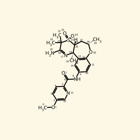 COc1ccc(C(=O)Nc2ccc3c(c2)[C@@]2(C)N=C(N)C(C)(C)S(=O)(=O)[C@@H]2C[C@H](C)O3)nc1